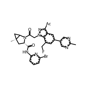 CC(=O)c1nn(CC(=O)N2C3C[C@]3(C)C[C@H]2C(=O)Nc2cccc(Br)n2)c2c(CF)cc(-c3cnc(C)nc3)cc12